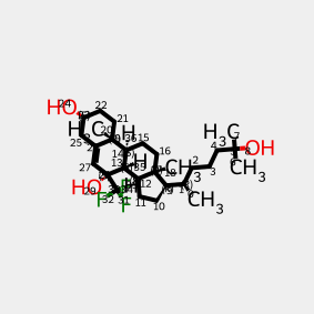 C[C@H](CCCC(C)(C)O)[C@H]1CC[C@H]2[C@H]3[C@H](CC[C@]12C)[C@@]1(C)CC[C@H](O)CC1=C[C@]3(O)C(F)(F)F